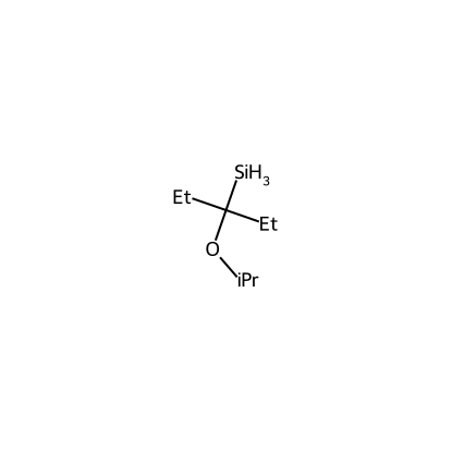 CCC([SiH3])(CC)OC(C)C